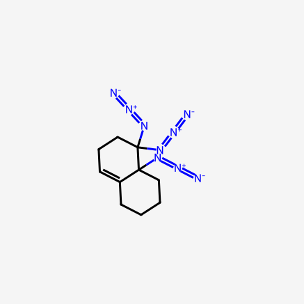 [N-]=[N+]=NC1(N=[N+]=[N-])CCC=C2CCCCC21N=[N+]=[N-]